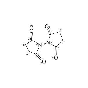 O=C1CCC(=O)N1[N+]1C(=O)CCC1=O